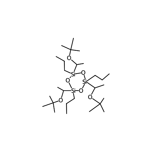 CCC[Si]1(C(C)OC(C)(C)C)O[Si](CCC)(C(C)OC(C)(C)C)O[Si](CCC)(C(C)OC(C)(C)C)O1